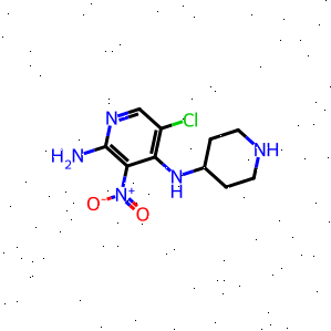 Nc1ncc(Cl)c(NC2CCNCC2)c1[N+](=O)[O-]